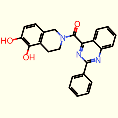 O=C(c1nc(-c2ccccc2)nc2ccccc12)N1CCc2c(ccc(O)c2O)C1